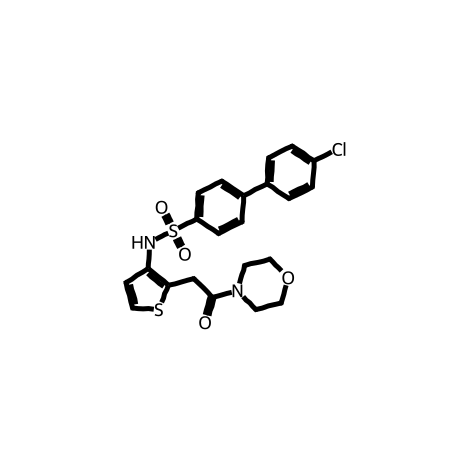 O=C(Cc1sccc1NS(=O)(=O)c1ccc(-c2ccc(Cl)cc2)cc1)N1CCOCC1